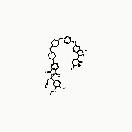 CCOc1cc([C@@H](CC#N)N2C(=O)c3ccc(C4CCN(CC5CCN(Cc6ccc(Oc7ccc8c(C9CCC(=O)NC9=O)nn(C)c8c7)cc6)CC5)CC4)cc3C2=O)ccc1OC